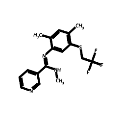 CN/C(=N\c1cc(SCC(F)(F)F)c(C)cc1C)c1cccnc1